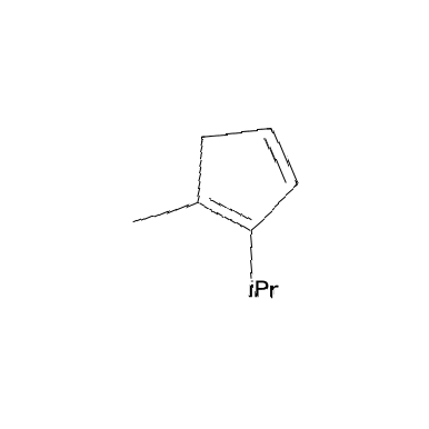 CC1=C(C(C)C)C=CC1